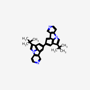 CC(C)(C)c1cn2c3ccncc3c3cc(-c4cc5c(C(C)(C)C)cn6c7ccncc7c(c4)c56)cc1c32